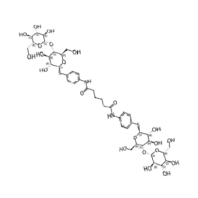 O=C(CCCCC(=O)Nc1ccc(S[C@@H]2O[C@H](CO)[C@@H](O[C@@H]3O[C@H](CO)[C@@H](O)[C@H](O)[C@H]3O)[C@H](O)[C@H]2O)cc1)Nc1ccc(S[C@@H]2O[C@H](CO)[C@@H](O[C@@H]3O[C@H](CO)[C@@H](O)[C@H](O)[C@H]3O)[C@H](O)[C@H]2O)cc1